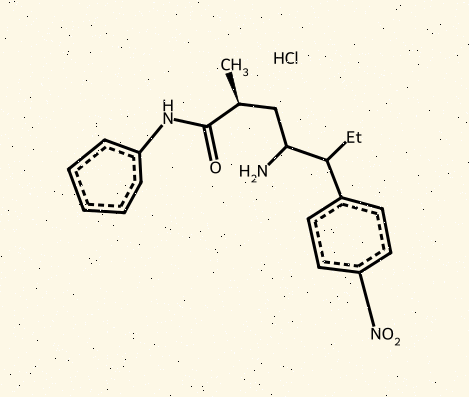 CCC(c1ccc([N+](=O)[O-])cc1)C(N)C[C@H](C)C(=O)Nc1ccccc1.Cl